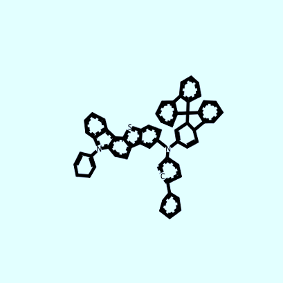 C1=CC(n2c3ccccc3c3c4sc5ccc(N(C6=CC7C(C=C6)c6ccccc6C76c7ccccc7-c7ccccc76)c6ccc(-c7ccccc7)cc6)cc5c4ccc32)=CCC1